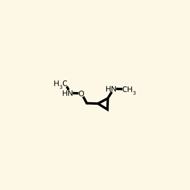 CNOCC1CC1NC